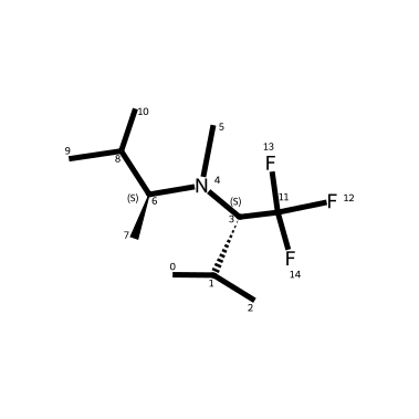 CC(C)[C@H](N(C)[C@@H](C)C(C)C)C(F)(F)F